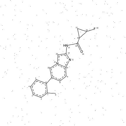 Cc1ccccc1-c1ccc2nc(NC(=O)C3CC3F)cn2c1